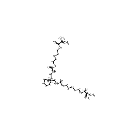 C=C(C)C(=O)OCCOCCOC(=O)NCCC1C2CCC1C(CNC(=O)OCCOCCOC(=O)C(=C)C)C2